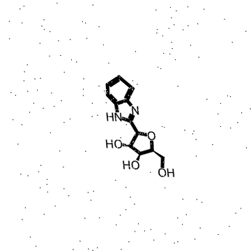 OC[C@@H]1OC(c2nc3ccccc3[nH]2)[C@H](O)[C@@H]1O